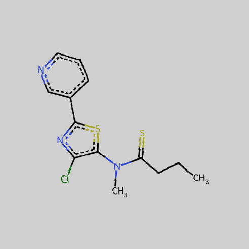 CCCC(=S)N(C)c1sc(-c2cccnc2)nc1Cl